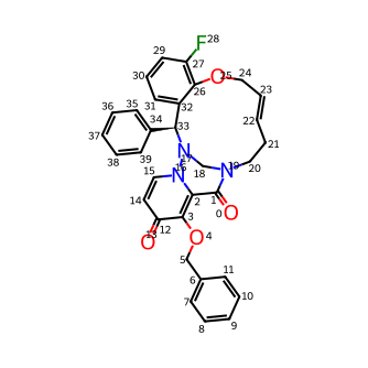 O=C1c2c(OCc3ccccc3)c(=O)ccn2N2CN1CC/C=C/COc1c(F)cccc1[C@@H]2c1ccccc1